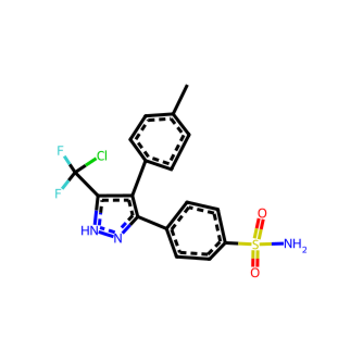 Cc1ccc(-c2c(-c3ccc(S(N)(=O)=O)cc3)n[nH]c2C(F)(F)Cl)cc1